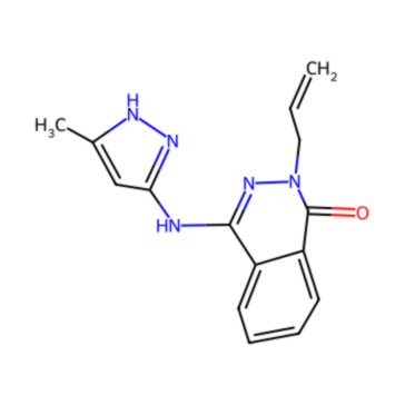 C=CCn1nc(Nc2cc(C)[nH]n2)c2ccccc2c1=O